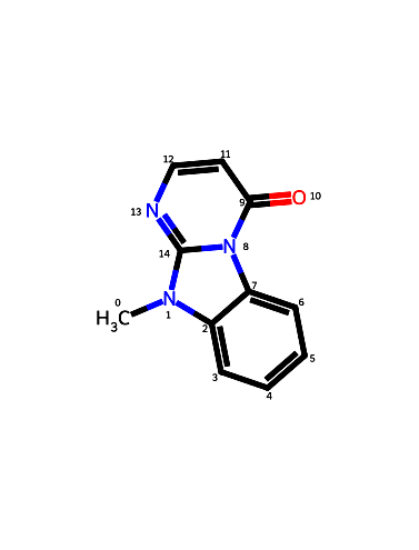 Cn1c2ccccc2n2c(=O)ccnc12